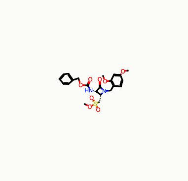 COc1ccc(CN2C(=O)[C@@H](NC(=O)OCc3ccccc3)[C@H]2CS(=O)(=O)OC)c(OC)c1